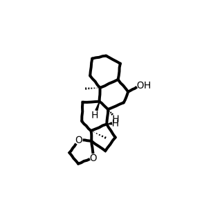 C[C@]12CCCCC1C(O)C[C@@H]1[C@@H]2CC[C@@]2(C)[C@H]1CCC21OCCO1